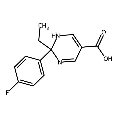 CCC1(c2ccc(F)cc2)N=CC(C(=O)O)=CN1